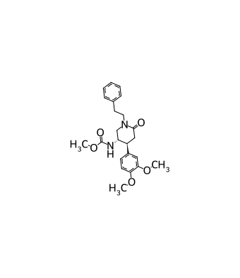 COC(=O)N[C@@H]1CN(CCc2ccccc2)C(=O)C[C@H]1c1ccc(OC)c(OC)c1